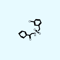 O=C(CNS(=O)(=O)Cc1cccc(Cl)c1)c1ccccc1